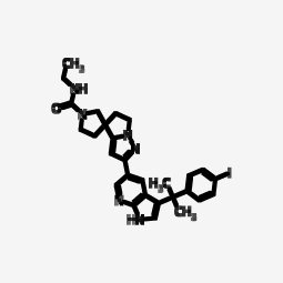 CCNC(=O)N1CCC2(CCn3nc(-c4cnc5[nH]cc(C(C)(C)c6ccc(I)cc6)c5c4)cc32)C1